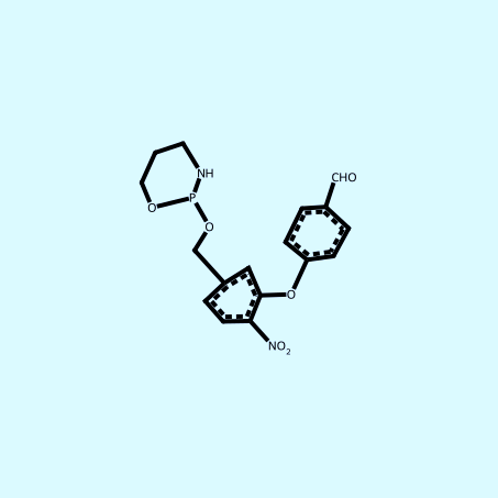 O=Cc1ccc(Oc2cc(COP3NCCCO3)ccc2[N+](=O)[O-])cc1